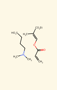 C=CC(=O)OC=C(C)C(=O)OCC.CN(C)CCCS(=O)(=O)O